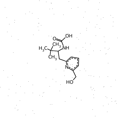 CC(C)(C)C(Cc1cccc(CO)n1)NC(=O)O